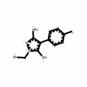 CCCCc1nn(CC(C)C)c(O)c1-c1ccc(C)cc1